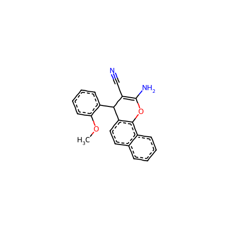 COc1ccccc1C1C(C#N)=C(N)Oc2c1ccc1ccccc21